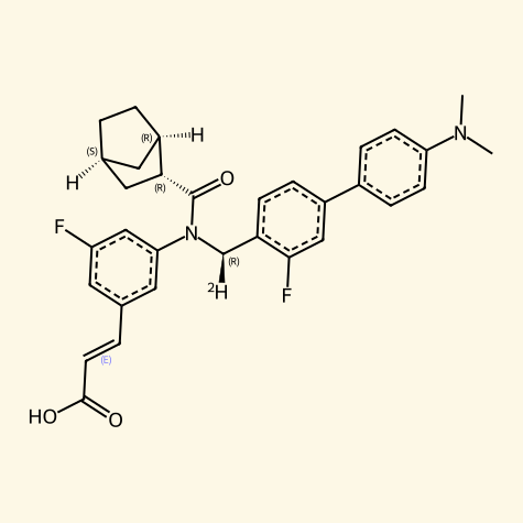 [2H][C@H](c1ccc(-c2ccc(N(C)C)cc2)cc1F)N(C(=O)[C@@H]1C[C@H]2CC[C@@H]1C2)c1cc(F)cc(/C=C/C(=O)O)c1